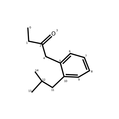 CCC(=O)Cc1ccccc1CC(C)C